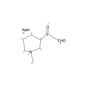 CN1CCCC(C(=O)C=O)C1.[NaH]